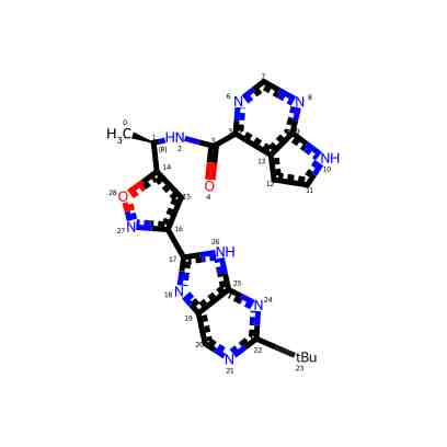 C[C@@H](NC(=O)c1ncnc2[nH]ccc12)c1cc(-c2nc3cnc(C(C)(C)C)nc3[nH]2)no1